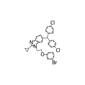 Clc1ccc(C(c2ccc(Cl)cc2)c2ccc3nc(C4CC4)n(CCOc4cccc(Br)c4)c3c2)cc1